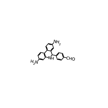 Nc1ccc2c(c1)NC(c1ccc(C=O)cc1)c1cc(N)ccc1-2